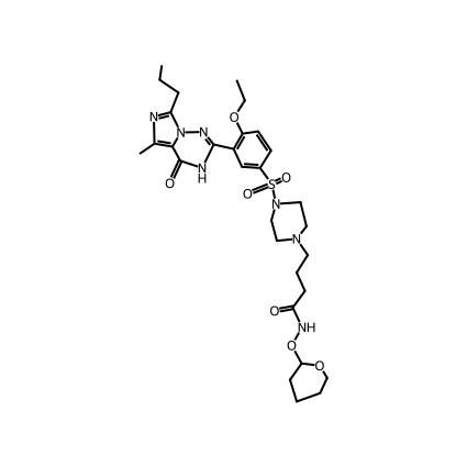 CCCc1nc(C)c2c(=O)[nH]c(-c3cc(S(=O)(=O)N4CCN(CCCC(=O)NOC5CCCCO5)CC4)ccc3OCC)nn12